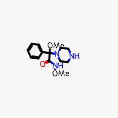 CONC(=O)C(OC)(c1ccccc1)N1CCNCC1